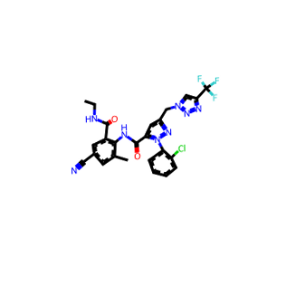 CCNC(=O)c1cc(C#N)cc(C)c1NC(=O)c1cc(Cn2cc(C(F)(F)F)nn2)nn1-c1ccccc1Cl